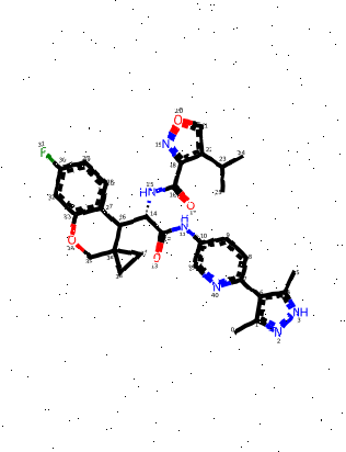 Cc1n[nH]c(C)c1-c1ccc(NC(=O)[C@@H](NC(=O)c2nocc2C(C)C)C2c3ccc(F)cc3OCC23CC3)cn1